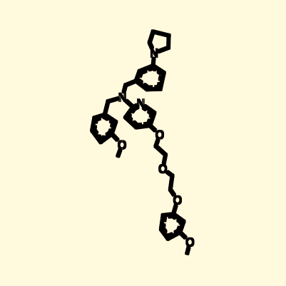 COc1cccc(CN(Cc2cccc(N3CCCC3)c2)c2ccc(OCCOCCOc3cccc(OC)c3)cn2)c1